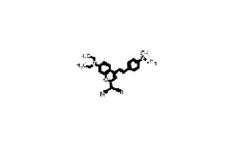 CCN(CC)c1ccc2c(c1)OC(=C(C#N)C#N)C=C2/C=C/c1ccc(N(C)C)cc1